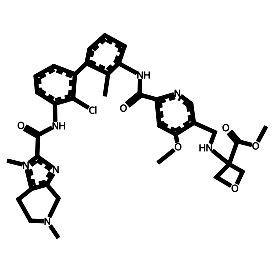 COC(=O)C1(NCc2cnc(C(=O)Nc3cccc(-c4cccc(NC(=O)c5nc6c(n5C)CCN(C)C6)c4Cl)c3C)cc2OC)COC1